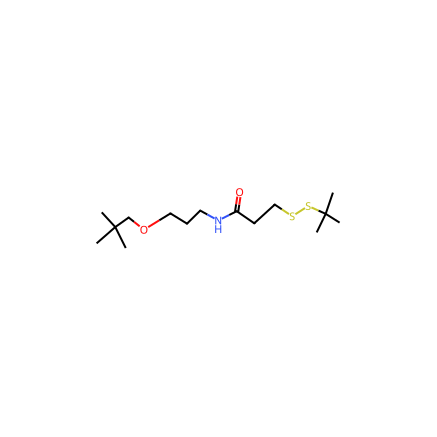 CC(C)(C)COCCCNC(=O)CCSSC(C)(C)C